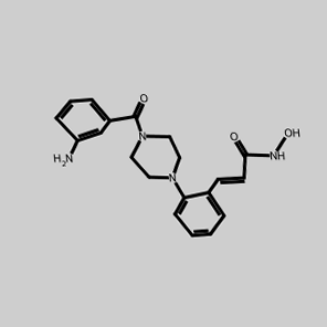 Nc1cccc(C(=O)N2CCN(c3ccccc3C=CC(=O)NO)CC2)c1